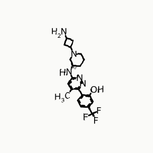 Cc1cc(N[C@@H]2CCCN(C3CC(N)C3)C2)nnc1-c1ccc(C(F)(F)F)cc1O